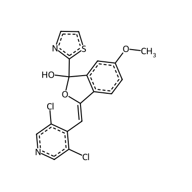 COc1ccc2c(c1)C(O)(c1nccs1)OC2=Cc1c(Cl)cncc1Cl